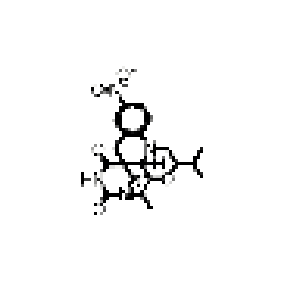 CC(C)[C@@H]1CN2c3ccc([N+](=O)[O-])cc3CC3(C(=O)NC(=O)NC3=O)[C@H]2[C@H](C(C)C)O1